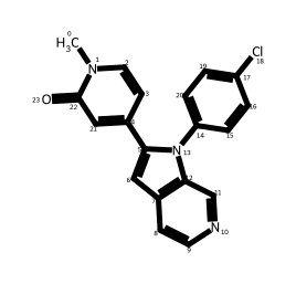 Cn1ccc(-c2cc3ccncc3n2-c2ccc(Cl)cc2)cc1=O